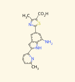 Cc1cccc(-c2cc3cc(-c4nc(C)c(C(=O)O)s4)cc(N)c3[nH]2)n1